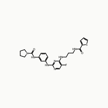 O=C(NCCCNc1nc(Nc2cccc(NC(=O)N3CCCC3)c2)ncc1F)c1cccs1